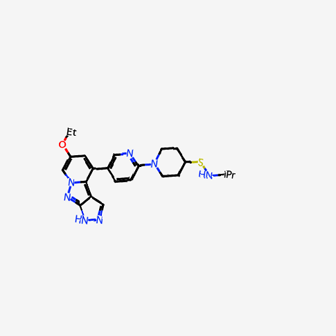 CCOc1cc(-c2ccc(N3CCC(SNC(C)C)CC3)nc2)c2c3cn[nH]c3nn2c1